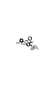 CC(C)(C)[Si](C)(C)OCc1nccnc1C(=O)N1CCOC[C@H]1CCOc1cccc(O)c1C=O